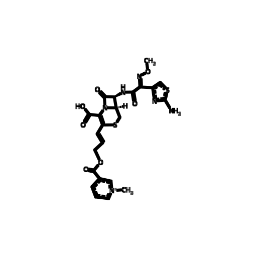 CON=C(C(=O)N[C@@H]1C(=O)N2C(C(=O)O)=C(C=CCOC(=O)c3ccc[n+](C)c3)SC[C@H]12)c1csc(N)n1